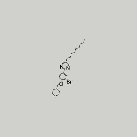 CCCCCCCCCc1cnc(-c2ccc(OCC3CC[CH]CC3)c(Br)c2)nc1